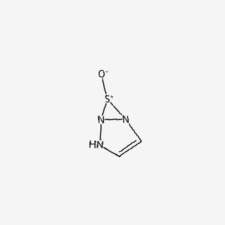 [O-][s+]1n2cc[nH]n21